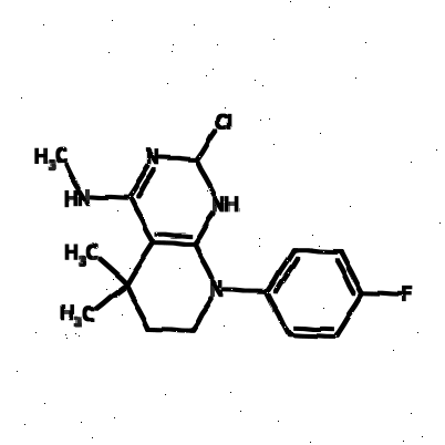 CNC1=NC(Cl)NC2=C1C(C)(C)CCN2c1ccc(F)cc1